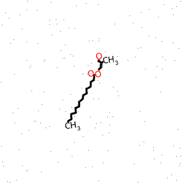 CCCCCCCCCCCCCCCC(=O)OCC=C(C)C=O